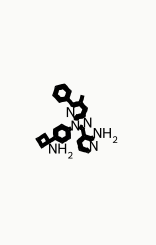 Cc1cc2nc(-c3cccnc3N)n(-c3ccc(C4(N)CCC4)cc3)c2nc1-c1ccccc1